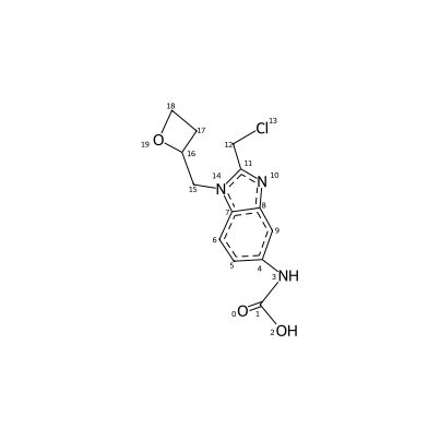 O=C(O)Nc1ccc2c(c1)nc(CCl)n2CC1CCO1